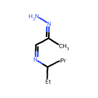 CCC(/N=C\C(C)=N/N)C(C)C